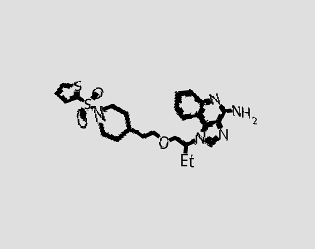 CCC(COCCC1CCN(S(=O)(=O)c2cccs2)CC1)n1cnc2c(N)nc3ccccc3c21